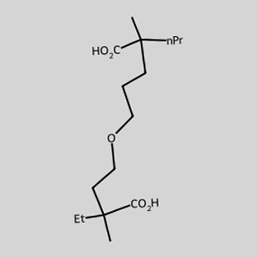 CCCC(C)(CCCOCCC(C)(CC)C(=O)O)C(=O)O